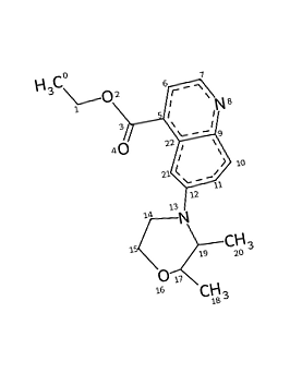 CCOC(=O)c1ccnc2ccc(N3CCOC(C)C3C)cc12